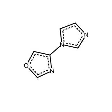 [c]1nc(-n2ccnc2)co1